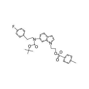 Cc1ccc(S(=O)(=O)OCCn2ccc3ccc(N(CCc4ccc(F)cc4)C(=O)OC(C)(C)C)cc32)cc1